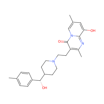 Cc1ccc([C@@H](O)C2CCN(CCc3c(C)nc4c(O)cc(C)cn4c3=O)CC2)cc1